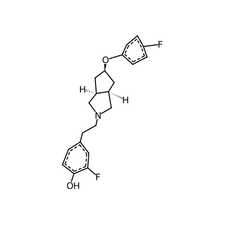 Oc1ccc(CCN2C[C@H]3C[C@@H](Oc4ccc(F)cc4)C[C@H]3C2)cc1F